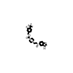 O=C(OCc1ccc(C(F)(F)F)c(F)c1)N1CCN(CC[S@@+]([O-])c2ccc3nn[nH]c3c2)CC1